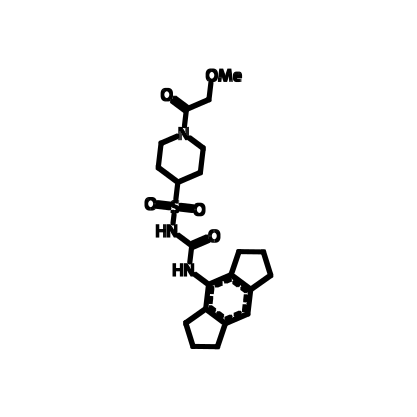 COCC(=O)N1CCC(S(=O)(=O)NC(=O)Nc2c3c(cc4c2CCC4)CCC3)CC1